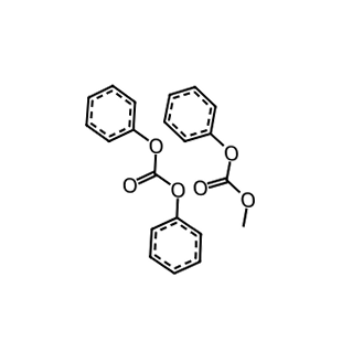 COC(=O)Oc1ccccc1.O=C(Oc1ccccc1)Oc1ccccc1